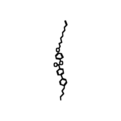 C=CCCCCCCCCOc1ccc(OC(=O)c2ccc(-c3ccc(CCCCC)cc3)cc2)cc1